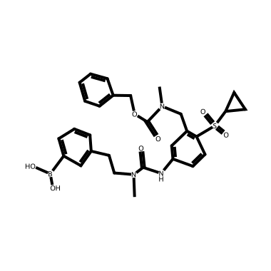 CN(CCc1cccc(B(O)O)c1)C(=O)Nc1ccc(S(=O)(=O)C2CC2)c(CN(C)C(=O)OCc2ccccc2)c1